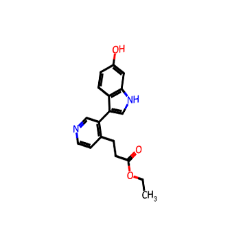 CCOC(=O)CCc1ccncc1-c1c[nH]c2cc(O)ccc12